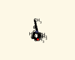 CCCCCCCC(=O)SCC/C=C/[C@@H]1CC(=O)NCc2nc(co2)C2=N[C@@](C)(CO2)C(=O)N[C@@H](C(C)C)C(=O)O1